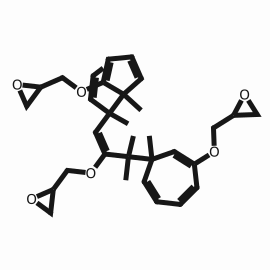 C/C=C\C(C)(/C=C(/OCC1CO1)C(C)(C)C1(C)C=CC=CC(OCC2CO2)=C1)C1(C)C=CC=C1OCC1CO1